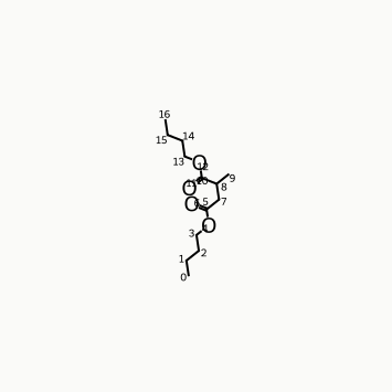 CCCCOC(=O)CC(C)C(=O)OCCCC